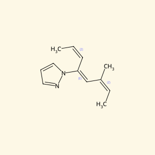 C\C=C/C(=C\C(C)=C/C)n1cccn1